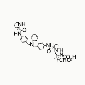 CC(C)(C=O)[C@@H](CN1CCC[C@H]1C(=O)Nc1ccc(CN(Cc2ccc(NC(=O)[C@@H]3CCCN3)cc2)c2ccccc2)cc1)NC(=O)O